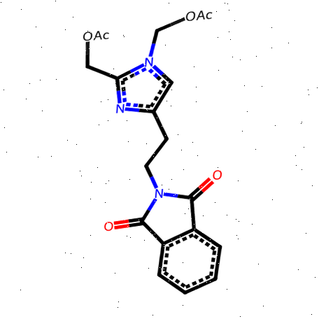 CC(=O)OCc1nc(CCN2C(=O)c3ccccc3C2=O)cn1COC(C)=O